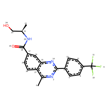 Cc1nc(-c2ccc(C(F)(F)F)cc2)nc2cc(C(=O)N[C@H](C)CO)ccc12